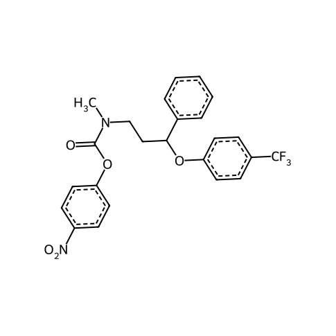 CN(CCC(Oc1ccc(C(F)(F)F)cc1)c1ccccc1)C(=O)Oc1ccc([N+](=O)[O-])cc1